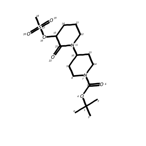 CC(C)(C)OC(=O)N1CCC(N2CCCC(OS(C)(=O)=O)C2=O)CC1